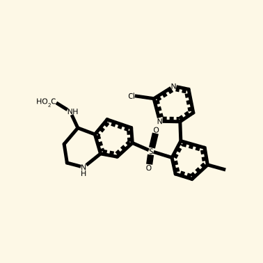 Cc1ccc(S(=O)(=O)c2ccc3c(c2)NCCC3NC(=O)O)c(-c2ccnc(Cl)n2)c1